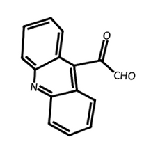 O=CC(=O)c1c2ccccc2nc2ccccc12